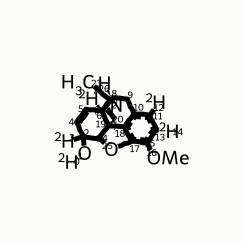 [2H]OC1([2H])C=C[C@@]2([2H])[C@H]3Cc4c([2H])c([2H])c(OC)c5c4[C@@]2(CCN3C)C1O5